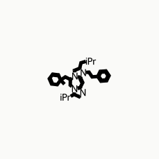 CC(C)CC1CN2C(=CC3=NCC(C(C)C)N3CC2CC2(C)C=CC=CC2)N1CCc1ccccc1